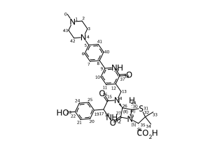 CN1CCN(c2ccc(-c3ccc(CN(C(=O)C(N)c4ccc(O)cc4)[C@@H]4C(=O)N5[C@@H]4SC(C)(C)[C@@H]5C(=O)O)c(=O)[nH]3)cc2)CC1